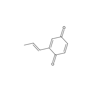 CC=CC1=CC(=O)C=CC1=O